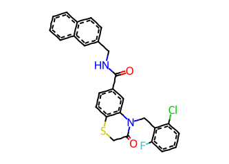 O=C(NCc1ccc2ccccc2c1)c1ccc2c(c1)N(Cc1c(F)cccc1Cl)C(=O)CS2